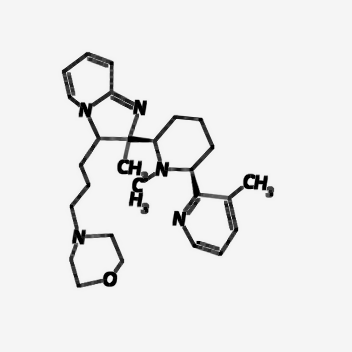 Cc1cccnc1[C@@H]1CCC[C@H](C2(C)N=C3C=CC=CN3C2CCCN2CCOCC2)N1C